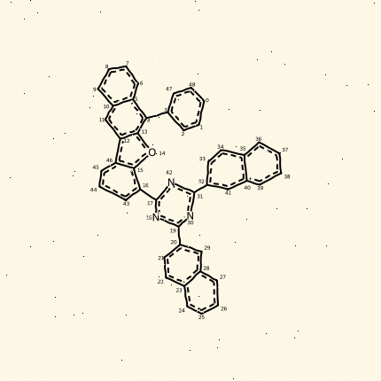 c1ccc(-c2c3ccccc3cc3c2oc2c(-c4nc(-c5ccc6ccccc6c5)nc(-c5ccc6ccccc6c5)n4)cccc23)cc1